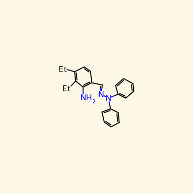 CCc1ccc(C=NN(c2ccccc2)c2ccccc2)c(N)c1CC